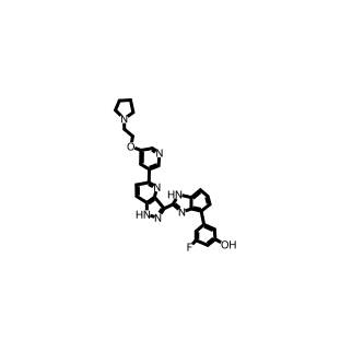 Oc1cc(F)cc(-c2cccc3[nH]c(-c4n[nH]c5ccc(-c6cncc(OCCN7CCCC7)c6)nc45)nc23)c1